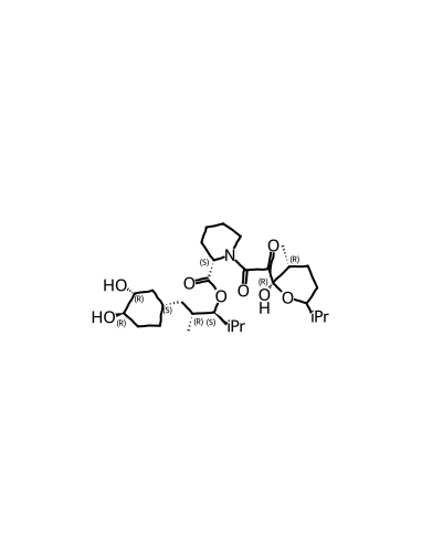 CC(C)C1CC[C@@H](C)[C@](O)(C(=O)C(=O)N2CCCC[C@H]2C(=O)O[C@@H](C(C)C)[C@H](C)C[C@@H]2CC[C@@H](O)[C@H](O)C2)O1